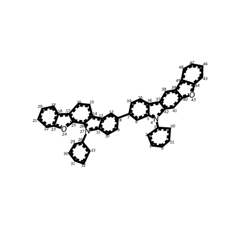 c1ccc(-n2c3cc(-c4ccc5c(c4)c4ccc6c7ccccc7oc6c4n5-c4ccccc4)ccc3c3cc4c(cc32)oc2ccccc24)cc1